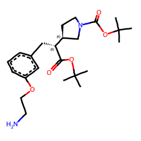 CC(C)(C)OC(=O)[C@H](Cc1cccc(OCCN)c1)[C@H]1CCN(C(=O)OC(C)(C)C)C1